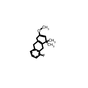 COC1=CC(C)(C)C2=C(C1)Cc1cccc(F)c1C2